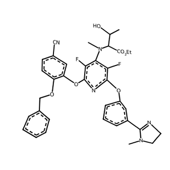 CCOC(=O)C(C(C)O)N(C)c1c(F)c(Oc2cccc(C3=NCCN3C)c2)nc(Oc2cc(C#N)ccc2OCc2ccccc2)c1F